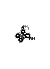 COc1ccc(C(C2C=CC=C(O)C=C2)P2(=O)Oc3ccccc3-c3ccccc32)cc1